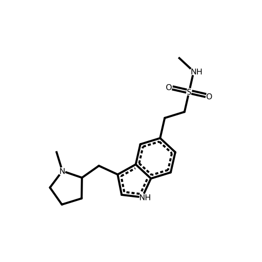 CNS(=O)(=O)CCc1ccc2[nH]cc(CC3CCCN3C)c2c1